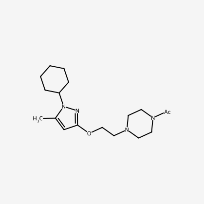 CC(=O)N1CCN(CCOc2cc(C)n(C3CCCCC3)n2)CC1